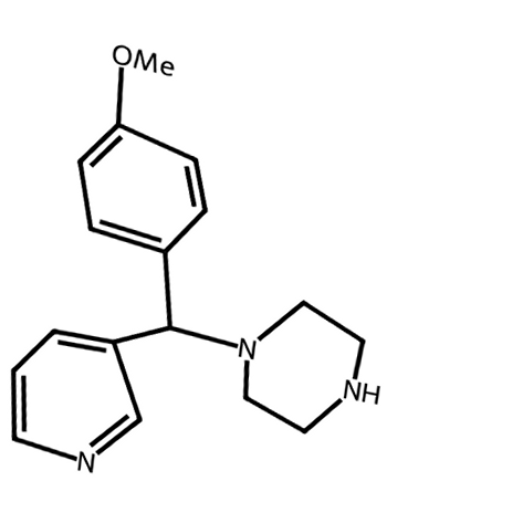 COc1ccc(C(c2cccnc2)N2CCNCC2)cc1